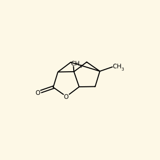 CC12CC3OC(=O)C(C1)C3(C)C2